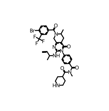 C=CC(C)Nc1nc2c(c(=O)n1-c1ccc(C(=O)N(C)C(=O)C3CCNCC3)cc1)CC(C)N(C(=O)c1ccc(Br)c(C(F)(F)F)c1)C2